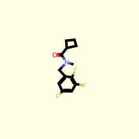 CN(Cc1cc(F)cc(F)c1F)C(=O)C1CCC1